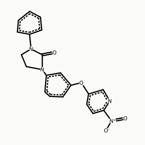 O=C1N(c2ccccc2)CCN1c1cccc(Oc2ccc([N+](=O)[O-])nc2)c1